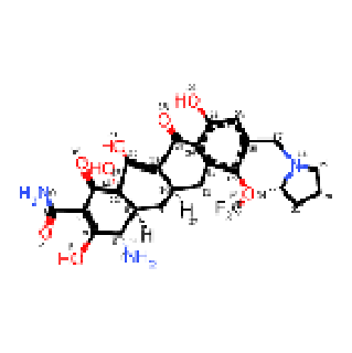 NC(=O)C1=C(O)[C@@H](N)[C@@H]2C[C@@H]3Cc4c(OC(F)(F)F)c(CN5CCCC5)cc(O)c4C(=O)C3=C(O)[C@]2(O)C1=O